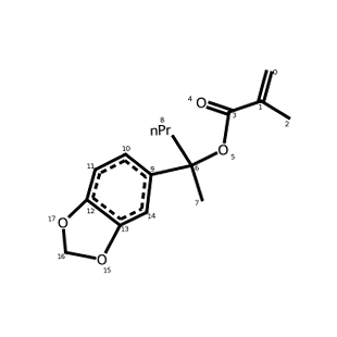 C=C(C)C(=O)OC(C)(CCC)c1ccc2c(c1)OCO2